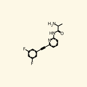 CC(N)C(=O)Nc1cccc(C#Cc2cc(F)cc(F)c2)n1